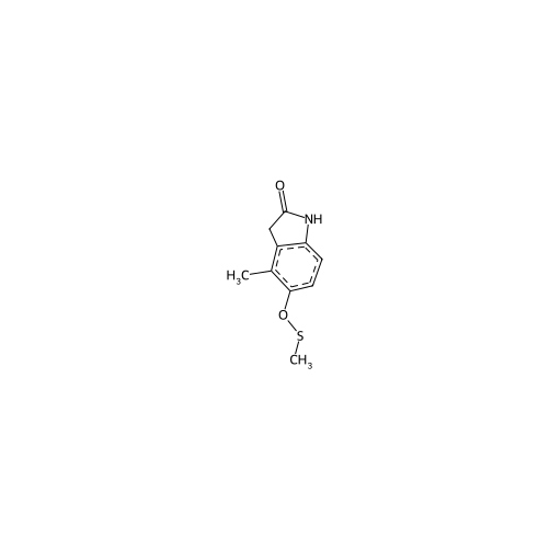 CSOc1ccc2c(c1C)CC(=O)N2